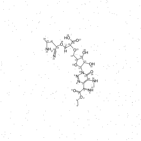 CCOC(=O)C(=N)c1nnn(C2OC(COC(POC(C#N)CC(C)N)C(=O)O)C(O)C2O)c(=O)c1NC